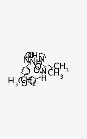 [CH2]c1ccc(C(=NO)NC(=O)[C@@H]2CCCN2C(=O)[C@@H](CC(C)C)NC(=O)Cc2ccc(OC)cc2)cc1